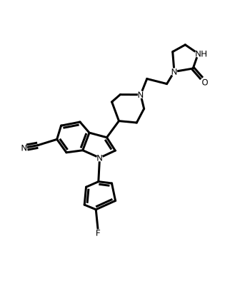 N#Cc1ccc2c(C3CCN(CCN4CCNC4=O)CC3)cn(-c3ccc(F)cc3)c2c1